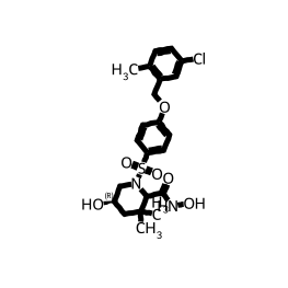 Cc1ccc(Cl)cc1COc1ccc(S(=O)(=O)N2C[C@H](O)CC(C)(C)C2C(=O)NO)cc1